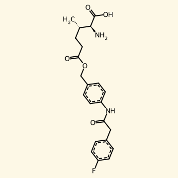 C[C@@H](CCC(=O)OCc1ccc(NC(=O)Cc2ccc(F)cc2)cc1)[C@H](N)C(=O)O